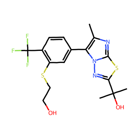 Cc1nc2sc(C(C)(C)O)nn2c1-c1ccc(C(F)(F)F)c(SCCO)c1